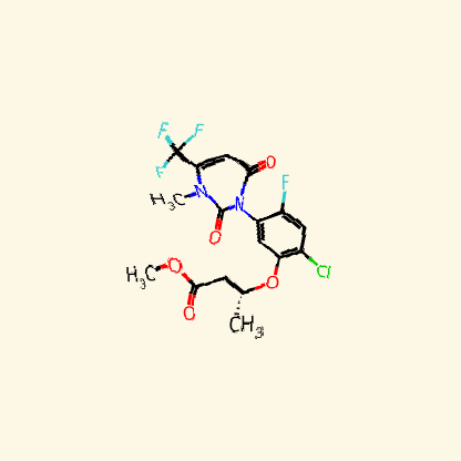 COC(=O)C[C@@H](C)Oc1cc(-n2c(=O)cc(C(F)(F)F)n(C)c2=O)c(F)cc1Cl